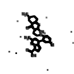 Cc1cc(-c2cc(Cl)ccc2OCCn2c(C)nc3c(c2=O)CN(C)CC3)c2ccc(C(=O)O)n2n1